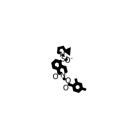 Cc1ccc(C(=O)OCn2ccc3c([S+]([O-])N4CCCC45CC5)cccc3c2=O)c(C)c1